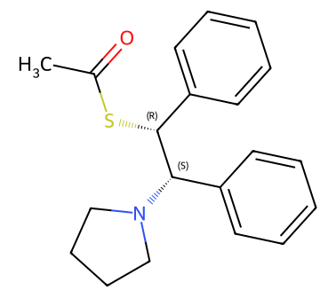 CC(=O)S[C@H](c1ccccc1)[C@H](c1ccccc1)N1CCCC1